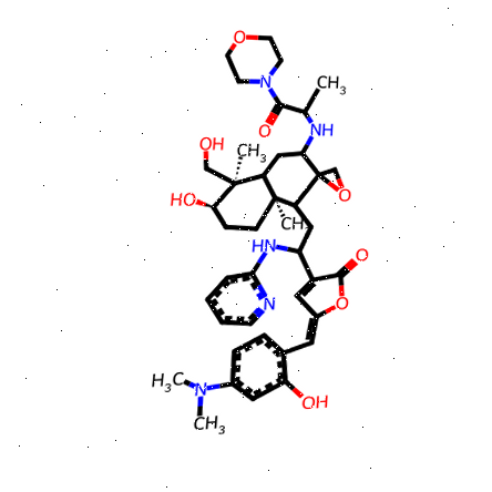 CC(NC1CC2[C@](C)(CC[C@@H](O)[C@@]2(C)CO)C(CC(Nc2ccccn2)C2=C/C(=C\c3ccc(N(C)C)cc3O)OC2=O)C12CO2)C(=O)N1CCOCC1